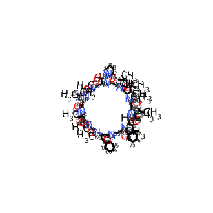 CC[C@H](C)C1C(=O)N(C)[C@@H](CC(C)C)C(=O)NC(C(=O)N2CCCCC2)C(=O)N(C)C(=O)N[C@@H](CC(C)C)C(=O)N[C@@H]([C@@H](C)O)C(=O)N(C)C(=O)N(CC)C(Cc2ccccc2)C(=O)/N=C\C(=O)N(C)C(Cc2ccccc2)C(=O)N(C)[C@@H](CC(C)C)C(=O)N1C